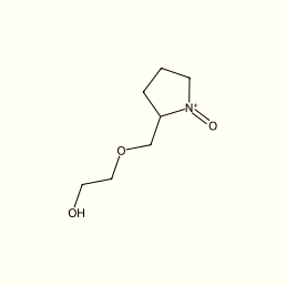 O=[N+]1CCCC1COCCO